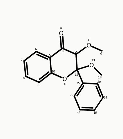 COC1C(=O)c2ccccc2OC1(OC)c1ccccc1